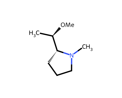 CO[C@H](C)[C@H]1CCCN1C